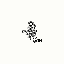 O=C(O)CCC(=O)N(C1CC1)C1C2=CCC(Cl)C=C2N(C(=O)C2CCCc3ccccc32)C2CCCC21